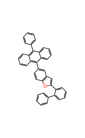 c1ccc(-c2ccccc2-c2cc3cc(-c4c5ccccc5c(-c5ccccc5)c5ccccc45)ccc3o2)cc1